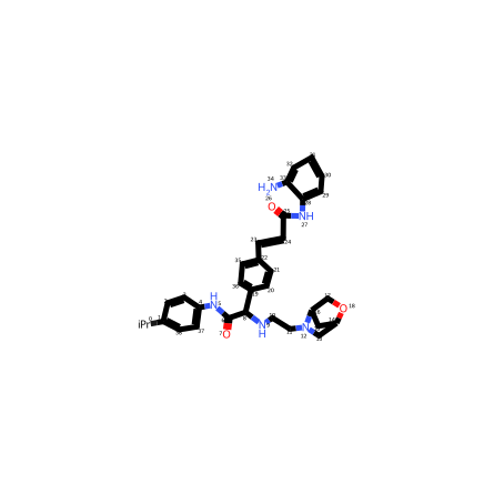 CC(C)c1ccc(NC(=O)C(NCCN2CC3CC2CO3)c2ccc(C=CC(=O)Nc3ccccc3N)cc2)cc1